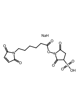 O=C(CCCCCN1C(=O)C=CC1=O)ON1C(=O)CC(S(=O)(=O)O)C1=O.[NaH]